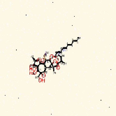 CCCCC/C=C/C=C/C(=O)OC1C(SI)C2(O)C(C3OC3(CO)C(O)C3(O)C(=O)C(C)=CC32)C2C(C)(C)C12OC(=O)C(C)CC